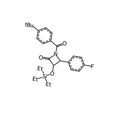 CC[Si](CC)(CC)OC1C(=O)N(C(=O)c2ccc(C(C)(C)C)cc2)C1c1ccc(F)cc1